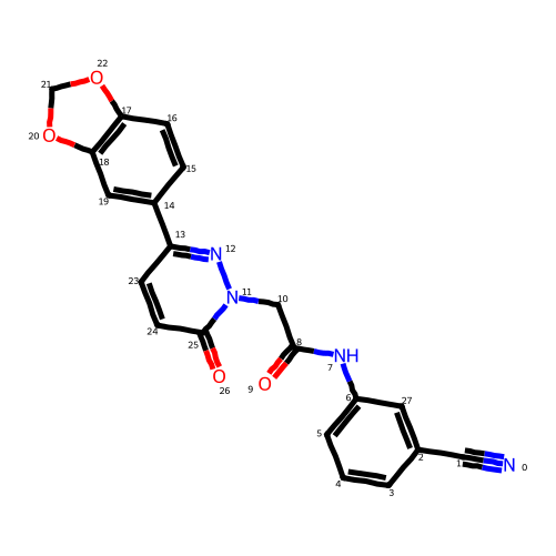 N#Cc1cccc(NC(=O)Cn2nc(-c3ccc4c(c3)OCO4)ccc2=O)c1